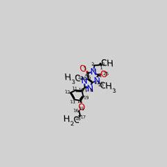 C#CCn1c(=O)c2c(nc(-c3cccc(OCC=C)c3)n2C)n(C)c1=O